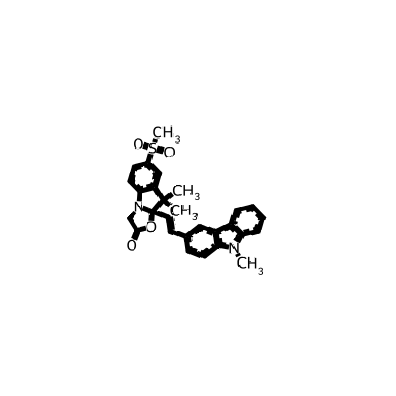 Cn1c2ccccc2c2cc(C=CC34OC(=O)CN3c3ccc(S(C)(=O)=O)cc3C4(C)C)ccc21